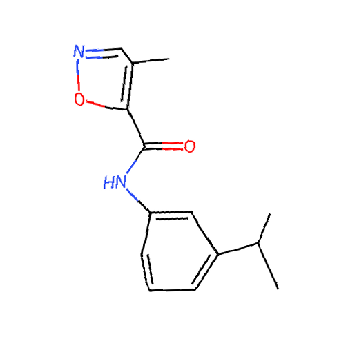 Cc1cnoc1C(=O)Nc1cccc(C(C)C)c1